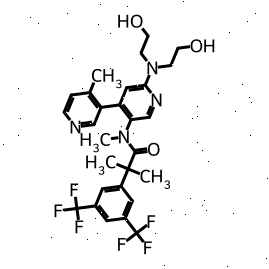 Cc1ccncc1-c1cc(N(CCO)CCO)ncc1N(C)C(=O)C(C)(C)c1cc(C(F)(F)F)cc(C(F)(F)F)c1